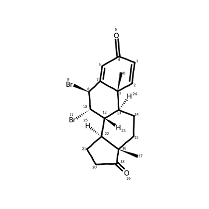 C[C@]12C=CC(=O)C=C1[C@H](Br)[C@@H](Br)[C@@H]1[C@@H]2CC[C@]2(C)C(=O)CC[C@@H]12